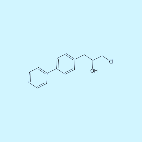 OC(CCl)Cc1ccc(-c2ccccc2)cc1